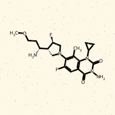 COCC[C@@H](N)[C@H]1CN(c2c(F)cc3c(=O)n(N)c(=O)n(C4CC4)c3c2C)C[C@@H]1F